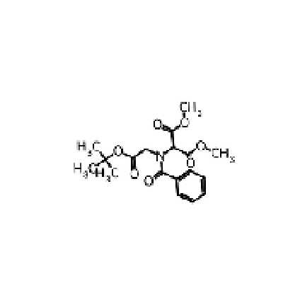 COC(=O)C(C(=O)OC)N(CC(=O)OC(C)(C)C)C(=O)c1ccccc1